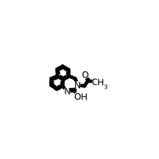 CC(=O)CN1Cc2cccc3cccc(c23)N=C1O